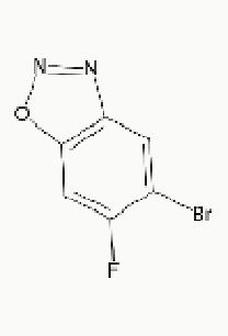 Fc1cc2onnc2cc1Br